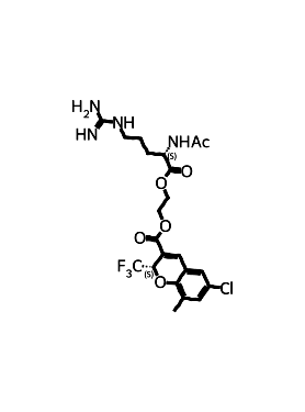 CC(=O)N[C@@H](CCCNC(=N)N)C(=O)OCCOC(=O)C1=Cc2cc(Cl)cc(C)c2O[C@@H]1C(F)(F)F